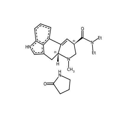 CCN(CC)C(=O)[C@@H]1C=C2c3cccc4[nH]cc(c34)C[C@H]2N(C)C1.O=C1CCCN1